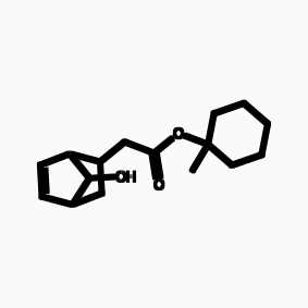 CC1(OC(=O)CC2CC3C=CC2C3O)CCCCC1